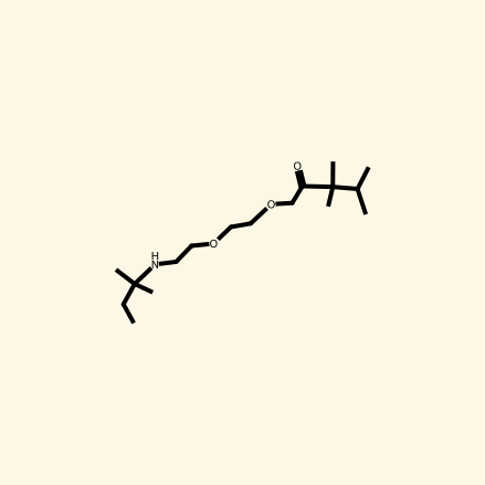 CCC(C)(C)NCCOCCOCC(=O)C(C)(C)C(C)C